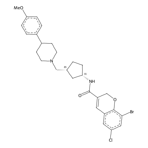 COc1ccc(C2CCN(C[C@@H]3CC[C@H](NC(=O)C4=Cc5cc(Cl)cc(Br)c5OC4)C3)CC2)cc1